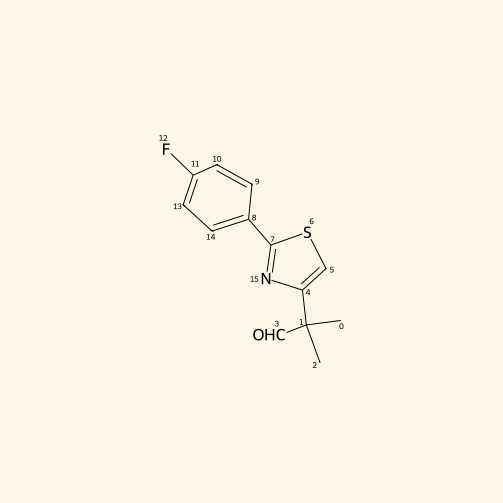 CC(C)(C=O)c1csc(-c2ccc(F)cc2)n1